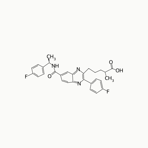 CC(CCCc1nc2cc(C(=O)N[C@H](C)c3ccc(F)cc3)ccc2nc1-c1ccc(F)cc1)C(=O)O